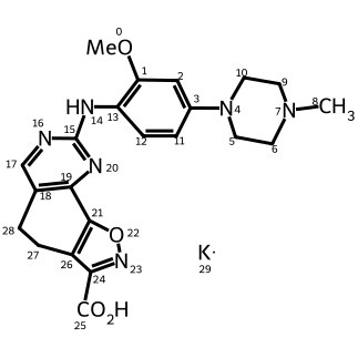 COc1cc(N2CCN(C)CC2)ccc1Nc1ncc2c(n1)-c1onc(C(=O)O)c1CC2.[K]